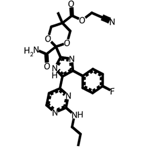 CCCNc1nccc(-c2[nH]c(C3(C(N)=O)OCC(C)(C(=O)OCC#N)CO3)nc2-c2ccc(F)cc2)n1